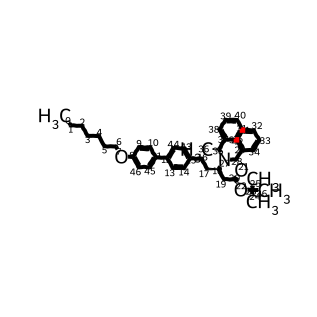 CCCCCCCOc1ccc(-c2ccc(CC[C@H](CC(=O)OC(C)(C)C)N(Cc3ccccc3)[C@H](C)c3ccccc3)cc2)cc1